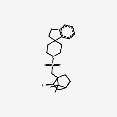 CC1(C)C2CCC1(CS(=O)(=O)N1CCC3(CCc4ccccc43)CC1)[C@H](O)C2